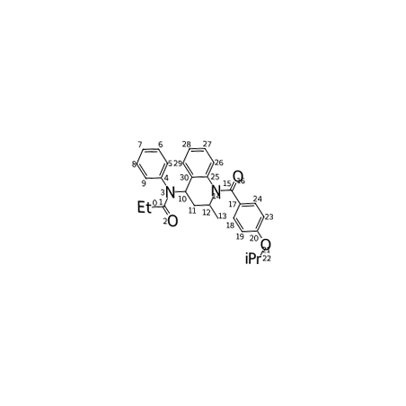 CCC(=O)N(c1ccccc1)C1CC(C)N(C(=O)c2ccc(OC(C)C)cc2)c2ccccc21